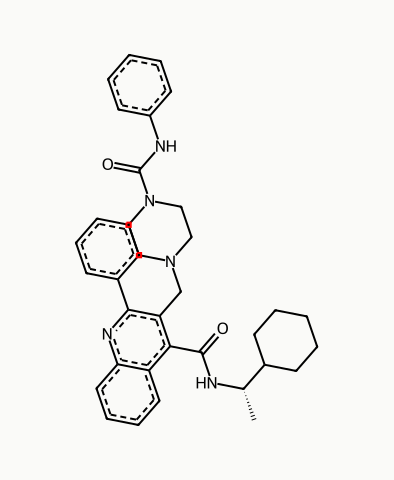 C[C@H](NC(=O)c1c(CN2CCN(C(=O)Nc3ccccc3)CC2)c(-c2ccccc2)nc2ccccc12)C1CCCCC1